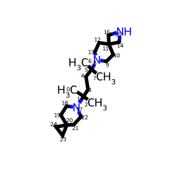 CC(C)(CCC(C)(C)N1CCC2(CC1)CNC2)N1CCC2(CC1)CC2